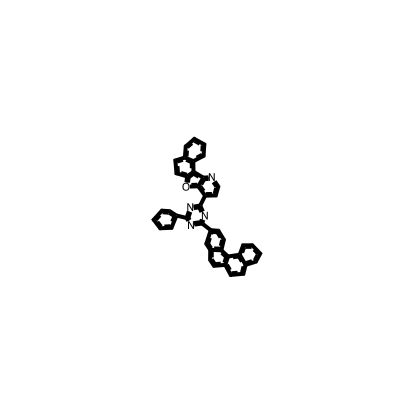 c1ccc(-c2nc(-c3ccc4c(ccc5ccc6ccccc6c54)c3)nc(-c3ccnc4c3oc3ccc5ccccc5c34)n2)cc1